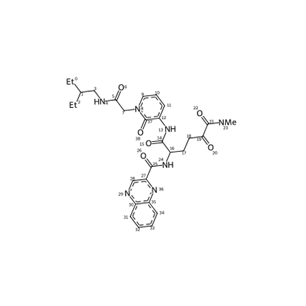 CCC(CC)CNC(=O)Cn1cccc(NC(=O)C(CCC(=O)C(=O)NC)NC(=O)c2cnc3ccccc3n2)c1=O